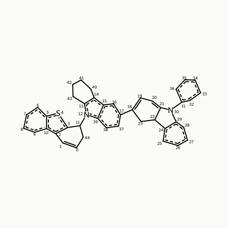 C1=Cc2c(sc3ccccc23)C(n2c3c(c4cc(C5=CC=C6C(C5)c5ccccc5N6c5ccccc5)ccc42)CCCC3)C1